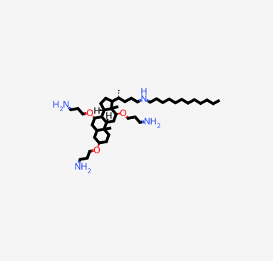 CCCCCCCCCCCCNCCC[C@@H](C)C1CC[C@H]2C3[C@H](OCCCN)CC4C[C@H](OCCCN)CCC4(C)[C@H]3C[C@H](OCCCN)C12C